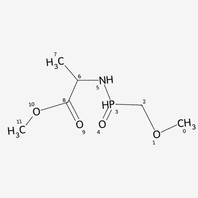 COC[PH](=O)NC(C)C(=O)OC